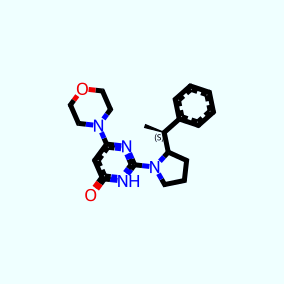 C[C@@H](c1ccccc1)C1CCCN1c1nc(N2CCOCC2)cc(=O)[nH]1